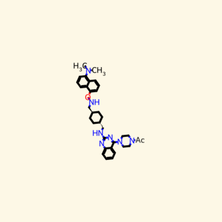 CC(=O)N1CCN(c2nc(NC[C@H]3CC[C@H](CNOc4cccc5c(N(C)C)cccc45)CC3)nc3ccccc23)CC1